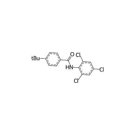 CC(C)(C)c1ccc(C(=O)Nc2c(Cl)cc(Cl)cc2Cl)cc1